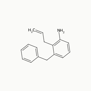 C=CCc1c(N)cccc1Cc1ccccc1